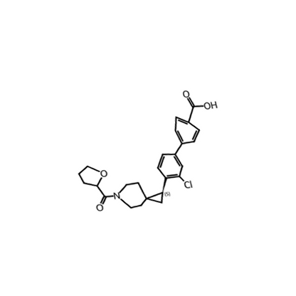 O=C(O)c1ccc(-c2ccc([C@H]3CC34CCN(C(=O)C3CCCO3)CC4)c(Cl)c2)cc1